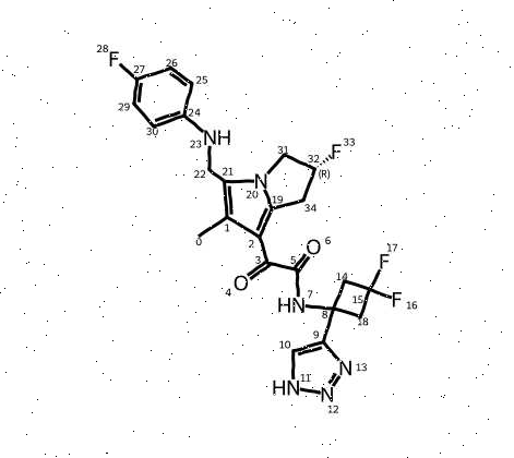 Cc1c(C(=O)C(=O)NC2(c3c[nH]nn3)CC(F)(F)C2)c2n(c1CNc1ccc(F)cc1)C[C@H](F)C2